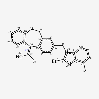 CCc1nc2c(C)ccnc2n1Cc1ccc2c(c1)CCc1ccccc1/C2=C(/C)C#N